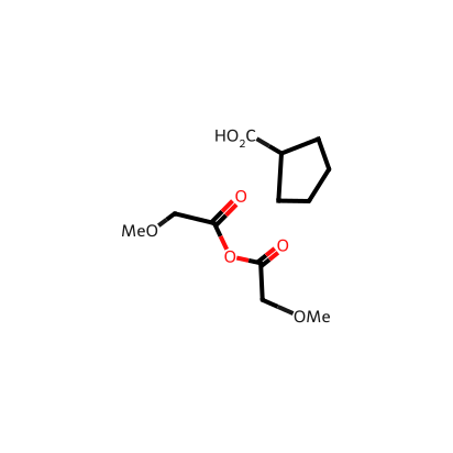 COCC(=O)OC(=O)COC.O=C(O)C1CCCC1